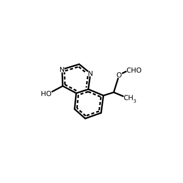 CC(OC=O)c1cccc2c(O)ncnc12